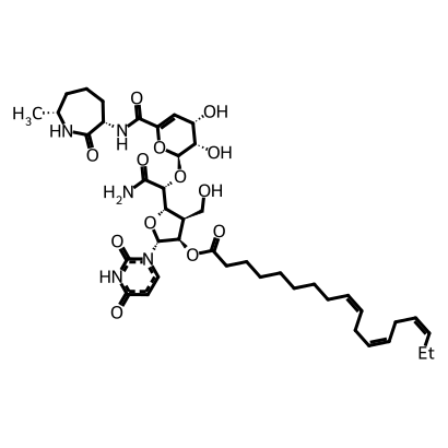 CC/C=C\C/C=C\C/C=C\CCCCCCCC(=O)O[C@@H]1[C@H](CO)[C@@H]([C@@H](O[C@H]2OC(C(=O)N[C@H]3CCC[C@@H](C)NC3=O)=C[C@H](O)[C@@H]2O)C(N)=O)O[C@H]1n1ccc(=O)[nH]c1=O